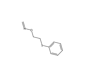 C=NOCCSc1ccccc1